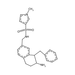 Cn1ccc(S(=O)(=O)NCc2ccc3c(c2)C(Cc2ccccc2)C(N)CC3)c1